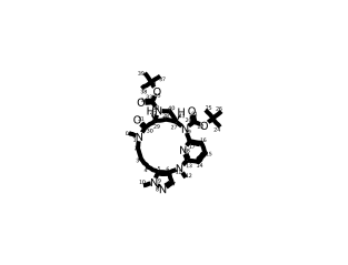 CN1CCCc2c(cnn2C)N(C)c2cccc(n2)N(C(=O)OC(C)(C)C)[C@H]2C[C@@H](C1=O)N(C(=O)OC(C)(C)C)C2